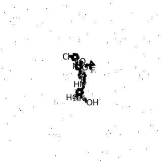 O=c1c(OCC2(CF)CC2)c(N2CCN(SNCc3ccc(O)c(NCCO)c3)CC2)cnn1-c1cccc(Cl)c1